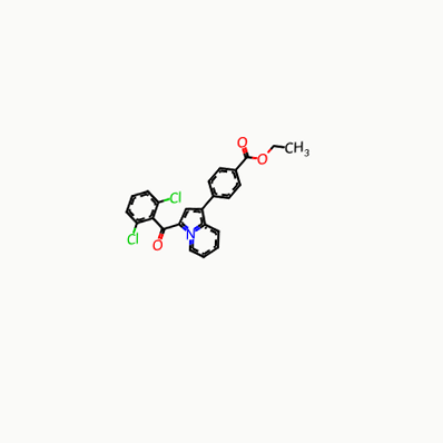 CCOC(=O)c1ccc(-c2cc(C(=O)c3c(Cl)cccc3Cl)n3ccccc23)cc1